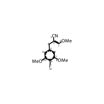 COC=C(C#N)Cc1cc(OC)c(F)c(OC)c1